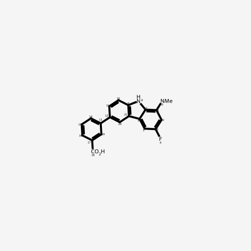 CNc1cc(F)cc2c1[nH]c1ccc(-c3cccc(C(=O)O)c3)cc12